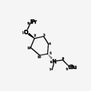 CC(C)O[C@H]1CC[C@H](N(C)CC(C)(C)C)CC1